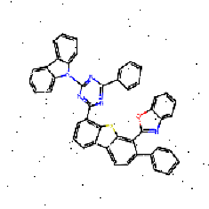 c1ccc(-c2nc(-c3cccc4c3sc3c(-c5nc6ccccc6o5)c(-c5ccccc5)ccc34)nc(-n3c4ccccc4c4ccccc43)n2)cc1